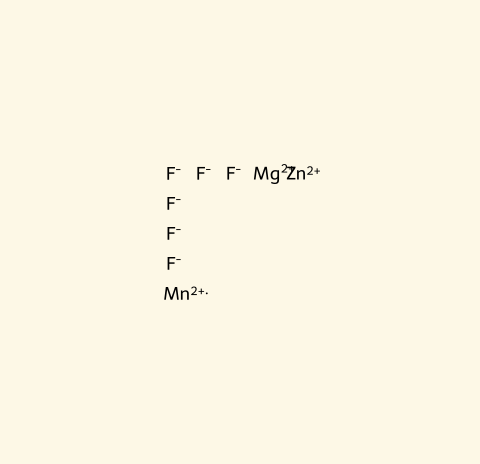 [F-].[F-].[F-].[F-].[F-].[F-].[Mg+2].[Mn+2].[Zn+2]